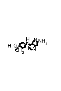 CN(C)c1ccc(Nc2ncnc3cc(N)ncc23)cc1